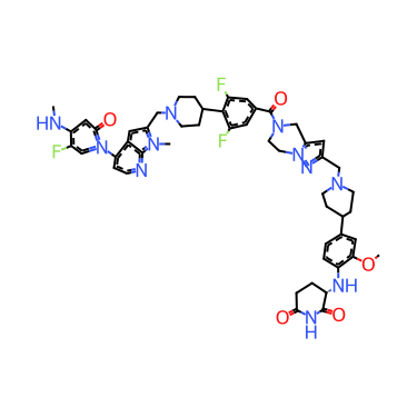 CNc1cc(=O)n(-c2ccnc3c2cc(CN2CCC(c4c(F)cc(C(=O)N5CCn6nc(CN7CCC(c8ccc(N[C@H]9CCC(=O)NC9=O)c(OC)c8)CC7)cc6C5)cc4F)CC2)n3C)cc1F